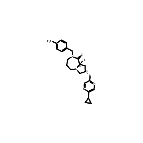 O=C1[C@@H]2C[C@H](Oc3cnc(C4CC4)cn3)CN2CCCN1Cc1ccc(C(F)(F)F)cc1